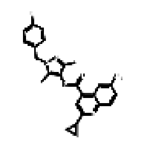 Cc1nn(Cc2ccc(F)cc2)c(C)c1NC(=O)c1cc(C2CC2)nc2ccc(C(F)(F)F)cc12